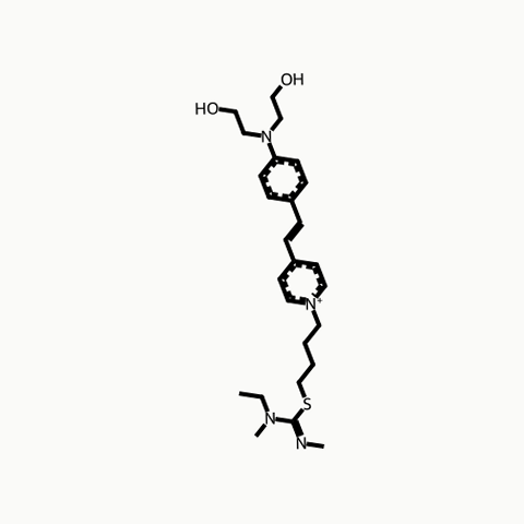 CCN(C)/C(=N/C)SCCCC[n+]1ccc(/C=C/c2ccc(N(CCO)CCO)cc2)cc1